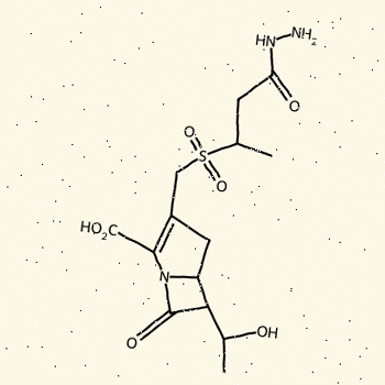 CC(O)C1C(=O)N2C(C(=O)O)=C(CS(=O)(=O)C(C)CC(=O)NN)CC12